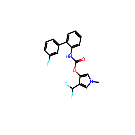 Cn1cc(OC(=O)Nc2ccccc2-c2cccc(F)c2)c(C(F)F)c1